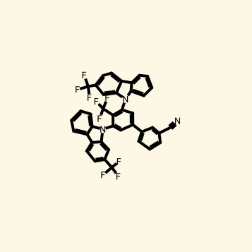 N#Cc1cccc(-c2cc(-n3c4ccccc4c4ccc(C(F)(F)F)cc43)c(C(F)(F)F)c(-n3c4ccccc4c4ccc(C(F)(F)F)cc43)c2)c1